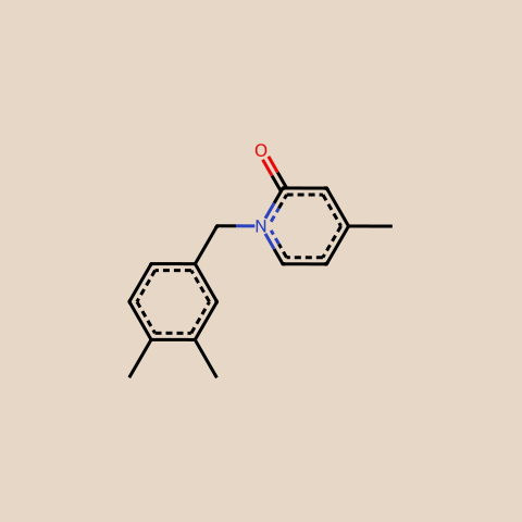 Cc1ccn(Cc2ccc(C)c(C)c2)c(=O)c1